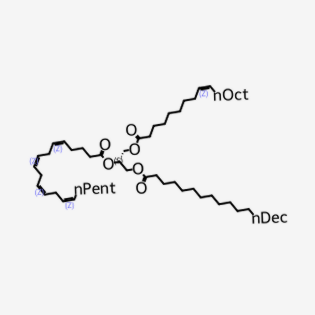 CCCCC/C=C\C/C=C\C/C=C\C/C=C\CCCC(=O)O[C@H](COC(=O)CCCCCCC/C=C\CCCCCCCC)COC(=O)CCCCCCCCCCCCCCCCCCCCC